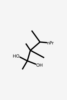 CCCC(C)C(C)(C)C(C)(O)O